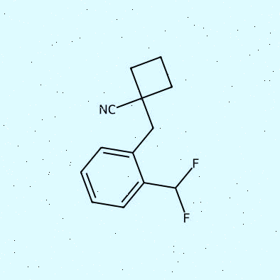 N#CC1(Cc2ccccc2C(F)F)CCC1